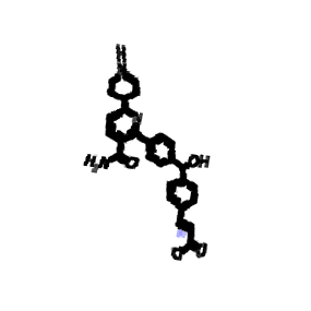 NC(=O)c1ccc(C2CCNCC2)nc1-c1ccc(C(O)c2ccc(/C=C/C(=O)Cl)cc2)cc1